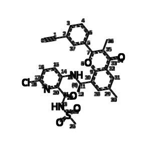 C#Cc1cccc(-c2oc3c([C@@H](C)Nc4ccc(Cl)nc4C(=O)NS(C)(=O)=O)cc(C)cc3c(=O)c2C)c1